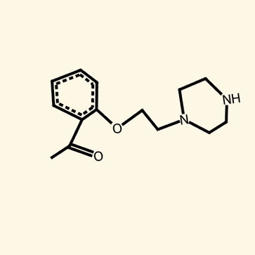 CC(=O)c1ccccc1OCCN1CCNCC1